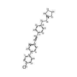 Clc1ccc(-c2ccc(C#Cc3ccc([CH]CN4CCCC4)cc3)nc2)cc1